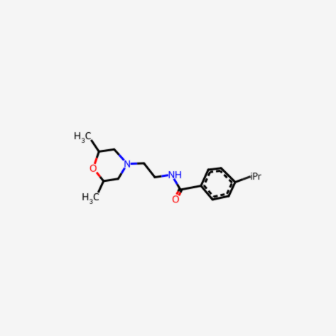 CC1CN(CCNC(=O)c2ccc(C(C)C)cc2)CC(C)O1